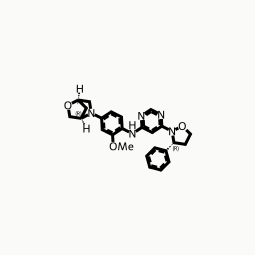 COc1cc(N2C[C@H]3C[C@@H]2CO3)ccc1Nc1cc(N2OCC[C@@H]2c2ccccc2)ncn1